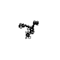 O=C(/C=C/CN1CC2OCCOC2C1)Nc1cc2c(Nc3ccc(F)c(Cl)c3)ncnc2cc1C#CC1COC2OCCC12